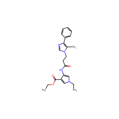 CCOC(=O)c1cn(CC)cc1NC(=O)CCn1cnc(-c2ccccc2)c1C